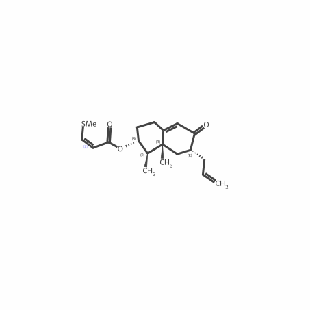 C=CC[C@@H]1C[C@@]2(C)C(=CC1=O)CC[C@@H](OC(=O)/C=C\SC)[C@@H]2C